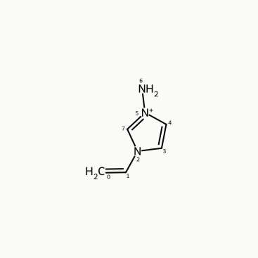 C=Cn1cc[n+](N)c1